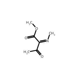 C/N=C(/C(C)=O)C(=O)OC